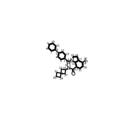 C[C@H](c1ccc(-c2ccccc2)cc1)n1ccc2c(F)ccc(C(=O)NC3CC4(CCC4)C3)c21